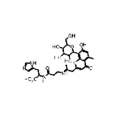 C/C(Cc1cc(=O)c2c(C)cc(O)c(C3OC(CO)C(O)C(O)C3O)c2o1)=N\CCC(=O)NC(Cc1cnc[nH]1)C(=O)O